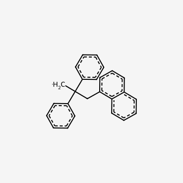 [CH2]C(Cc1cccc2ccccc12)(c1ccccc1)c1ccccc1